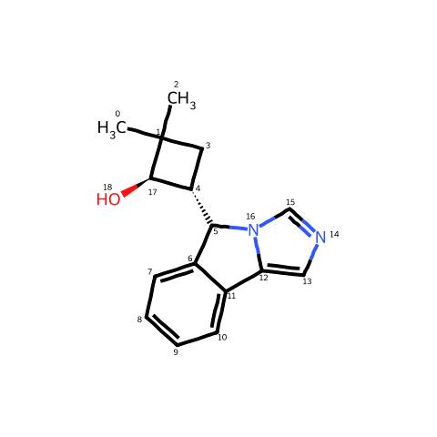 CC1(C)C[C@H](C2c3ccccc3-c3cncn32)[C@H]1O